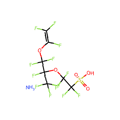 N.O=S(=O)(O)C(F)(F)C(F)(F)OC(F)(C(F)(F)F)C(F)(F)OC(F)=C(F)F